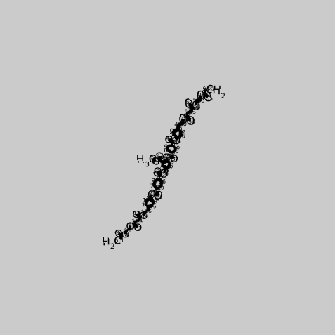 C=CC(=O)OCCOC(=O)CCC(=O)OCCc1ccc(OC(=O)[C@H]2CC[C@H](C(=O)Oc3ccc(OC(=O)[C@H]4CC[C@H](C(=O)Oc5ccc(CCOC(=O)CCC(=O)OCCOC(=O)C=C)cc5)CC4)c(C(=O)OC)c3)CC2)cc1